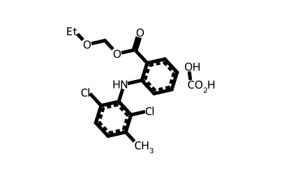 CCOCOC(=O)c1ccccc1Nc1c(Cl)ccc(C)c1Cl.O=C(O)O